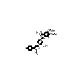 COc1cc2c(N)nc(N3CCN(C(=O)CC(N)c4ccc(F)cc4)CC3)nc2c(Cl)c1OC.Cl